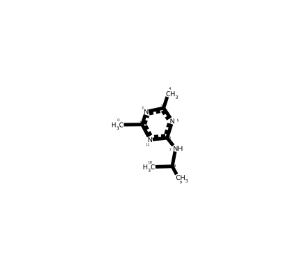 Cc1nc(C)nc(NC(C)C)n1